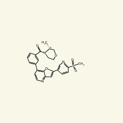 C[C@@H]1COCCN1C(=O)c1cccc(-c2ccnc3cc(-c4ccc(S(C)(=O)=O)nc4)oc23)c1